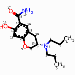 CCCN(CCC)[C@@H]1COc2cc(O)c(C(N)=O)cc2C1